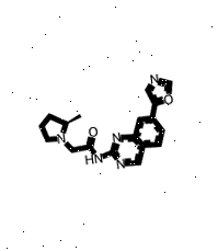 C[C@@H]1CCCN1CC(=O)Nc1ncc2ccc(-c3cnco3)cc2n1